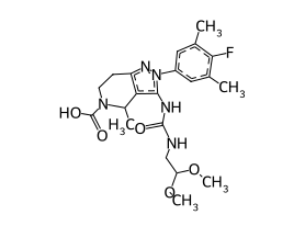 COC(CNC(=O)Nc1c2c(nn1-c1cc(C)c(F)c(C)c1)CCN(C(=O)O)C2C)OC